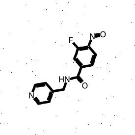 O=Nc1ccc(C(=O)NCc2ccncc2)cc1F